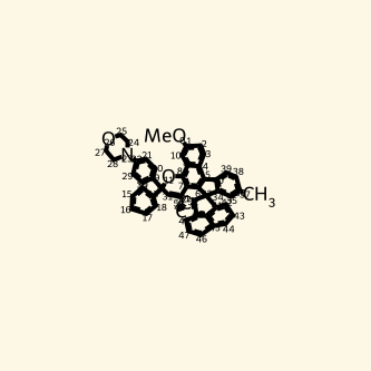 COc1ccc2c3c(c4c(c2c1)OC(c1ccccc1)(c1ccc(N2CCOCC2)cc1)C=C4)C1(c2cc(C)ccc2-3)c2cccc3ccc4cccc1c4c23